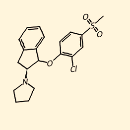 CS(=O)(=O)c1ccc(OC2c3ccccc3C[C@@H]2N2CCCC2)c(Cl)c1